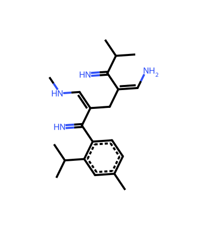 CN/C=C(/C/C(=C/N)C(=N)C(C)C)C(=N)c1ccc(C)cc1C(C)C